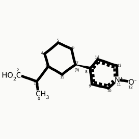 CC(C(=O)O)C1CCC[C@@H](c2cc[n+]([O-])cc2)C1